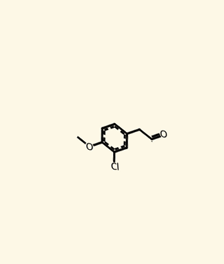 COc1ccc(C[C]=O)cc1Cl